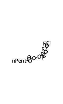 CCCCCC1COC(C2CCC(C3CCC(C(F)(F)Oc4ccc(-c5ccc(Cl)c(F)c5)c(F)c4)CC3)CC2)OC1